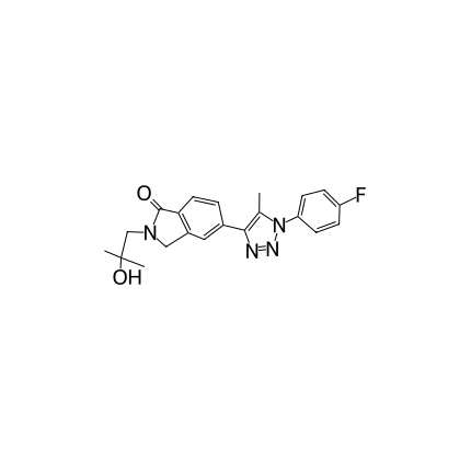 Cc1c(-c2ccc3c(c2)CN(CC(C)(C)O)C3=O)nnn1-c1ccc(F)cc1